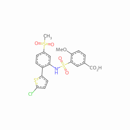 COc1ccc(C(=O)O)cc1S(=O)(=O)Nc1cc(S(C)(=O)=O)ccc1-c1ccc(Cl)s1